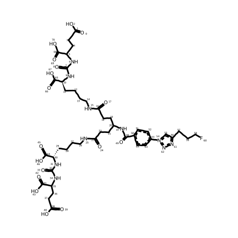 O=C(O)CCC(NC(=O)N[C@@H](CCCCNC(=O)CCC(CCC(=O)NCCCC[C@H](NC(=O)NC(CCC(=O)O)C(=O)O)C(=O)O)NC(=O)c1ccc(-n2cc(CCCF)nn2)cc1)C(=O)O)C(=O)O